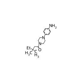 CCC(C)(C)CC(=O)N1CCN(c2ccc(N)cc2)CC1